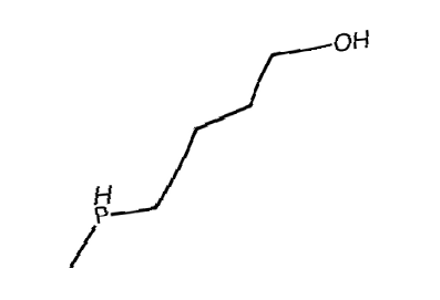 CPCCCCO